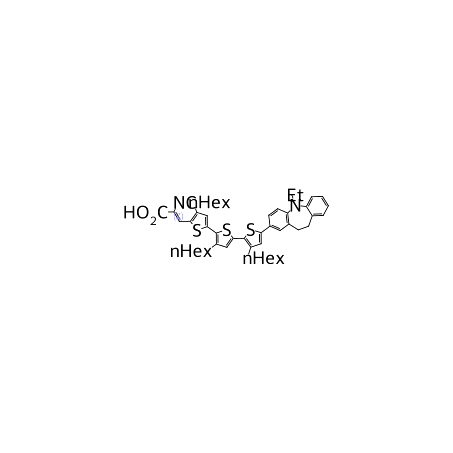 [C-]#[N+]/C(=C\c1sc(-c2sc(-c3sc(-c4ccc5c(c4)CCc4ccccc4N5CC)cc3CCCCCC)cc2CCCCCC)cc1CCCCCC)C(=O)O